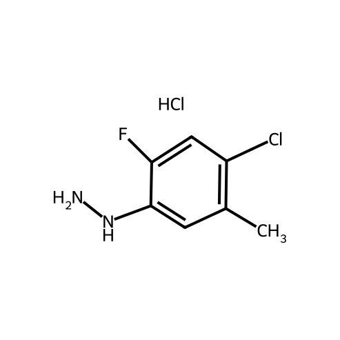 Cc1cc(NN)c(F)cc1Cl.Cl